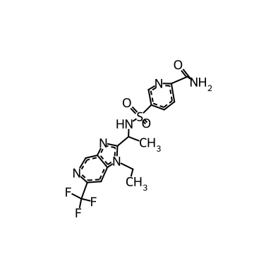 CCn1c(C(C)NS(=O)(=O)c2ccc(C(N)=O)nc2)nc2cnc(C(F)(F)F)cc21